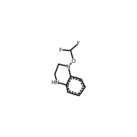 FC(F)ON1CCNc2ccccc21